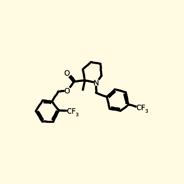 CC1(C(=O)OCc2ccccc2C(F)(F)F)CCCCN1Cc1ccc(C(F)(F)F)cc1